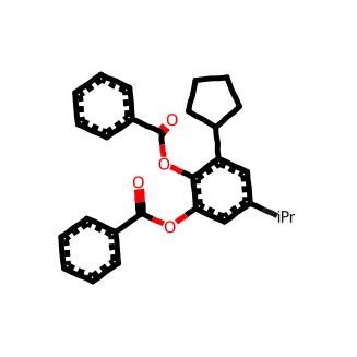 CC(C)c1cc(OC(=O)c2ccccc2)c(OC(=O)c2ccccc2)c(C2CCCC2)c1